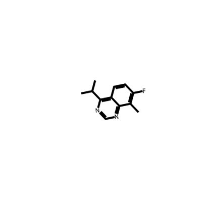 Cc1c(F)ccc2c(C(C)C)ncnc12